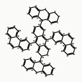 C1=CC2=C(CC1)Cc1ccccc1N2c1ccc2c(-c3ccc4ccc5cccnc5c4n3)c3c(c(-c4ccc5ccc6cccnc6c5n4)c2c1)=CCC(N1c2ccccc2Cc2ccccc21)C=3